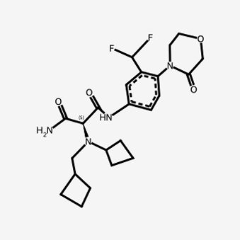 NC(=O)[C@@H](C(=O)Nc1ccc(N2CCOCC2=O)c(C(F)F)c1)N(CC1CCC1)C1CCC1